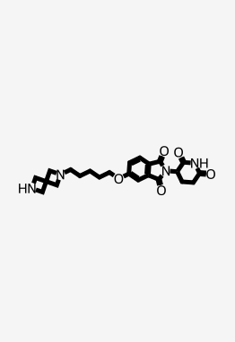 O=C1CCC(N2C(=O)c3ccc(OCCCCCN4CC5(CNC5)C4)cc3C2=O)C(=O)N1